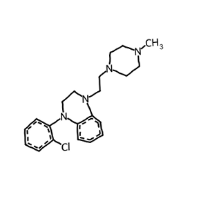 CN1CCN(CCN2CCN(c3ccccc3Cl)c3ccccc32)CC1